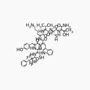 CC(C)[C@H](NC(=O)[C@H](CCCCN)NC(=O)[C@@H](Cc1c[nH]c2ccccc12)NC(=O)[C@H](Cc1ccc(O)cc1)NC(=O)[C@H](CS)NC(=O)[C@](F)(N(F)F)C(F)(F)c1ccccc1)C(=O)N[C@@H](CS)C(=O)N[C@H](C(N)=O)[C@@H](C)O